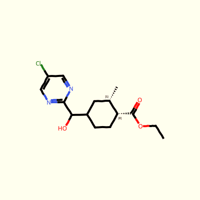 CCOC(=O)[C@@H]1CCC(C(O)c2ncc(Cl)cn2)C[C@@H]1C